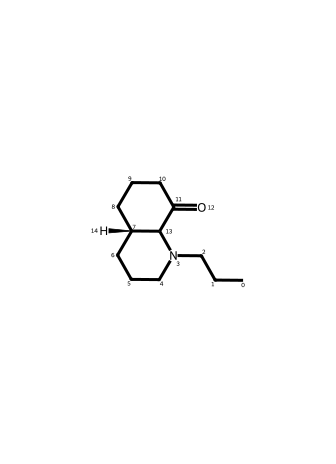 CCCN1CCC[C@@H]2CCCC(=O)C21